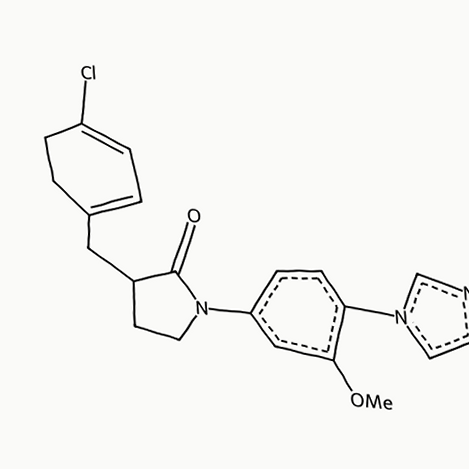 COc1cc(N2CCC(CC3=CC=C(Cl)CC3)C2=O)ccc1-n1cnc(C)c1